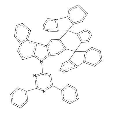 c1ccc(-c2cc(-n3c4cc5c(cc4c4c6ccccc6ccc43)C3(c4ccccc4-c4ccccc43)c3ccccc3C53c4ccccc4-c4ccccc43)nc(-c3ccccc3)n2)cc1